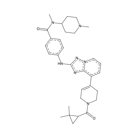 CN1CCC(N(C)C(=O)c2ccc(Nc3nc4c(C5=CCN(C(=O)C6CC6(C)C)CC5)cccn4n3)cc2)CC1